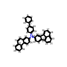 c1ccc(-c2ccc(N(c3ccc4c(c3)-c3cccc5cccc-4c35)c3ccc4c(ccc5ccccc54)c3)cc2)cc1